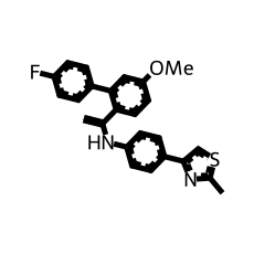 C=C(Nc1ccc(-c2csc(C)n2)cc1)c1ccc(OC)cc1-c1ccc(F)cc1